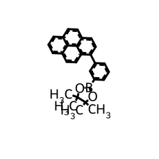 CC1(C)OB(c2cccc(-c3ccc4ccc5cccc6ccc3c4c56)c2)OC1(C)C